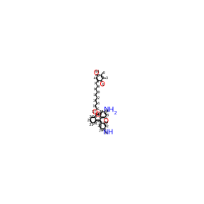 CC1=C(C)C(=O)C(CCCCCCCCCCOC(=O)c2ccccc2-c2c3ccc(=N)cc-3oc3cc(N)ccc23)=CC1=O